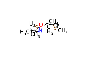 Cc1ccc(C(C)(C)CCOc2ncc(C(C)(C)C)s2)s1